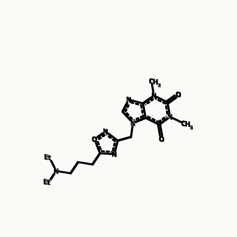 CCN(CC)CCCc1nc(Cn2cnc3c2c(=O)n(C)c(=O)n3C)no1